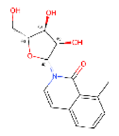 Cc1cccc2ccn([C@@H]3O[C@H](CO)[C@@H](O)[C@H]3O)c(=O)c12